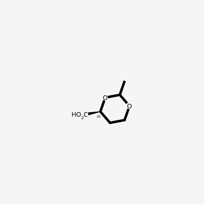 CC1OCC[C@@H](C(=O)O)O1